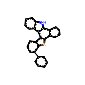 c1ccc(-c2cccc3c2sc2c4ccccc4c4[nH]c5ccccc5c4c32)cc1